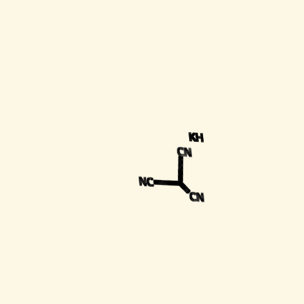 N#CC(C#N)C#N.[KH]